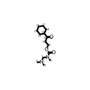 CN(C)CN(C)C(=O)OCCC(=O)C1CCCCC1